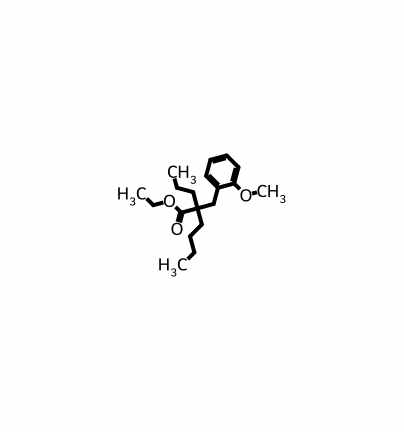 CCCCC(CCC)(Cc1ccccc1OC)C(=O)OCC